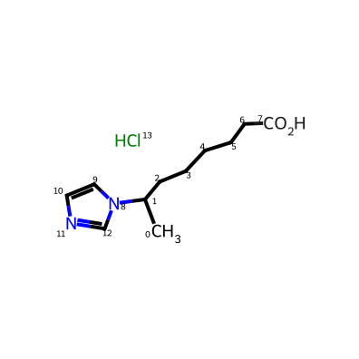 CC(CCCCCC(=O)O)n1ccnc1.Cl